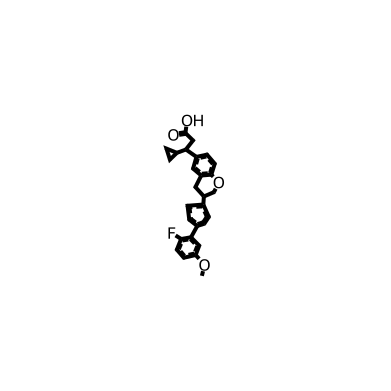 COc1ccc(F)c(-c2ccc(C3COc4ccc(C(CC(=O)O)C5CC5)cc4C3)cc2)c1